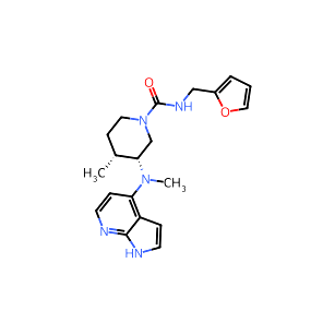 C[C@@H]1CCN(C(=O)NCc2ccco2)C[C@@H]1N(C)c1ccnc2[nH]ccc12